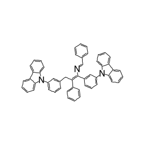 C(=N\C(=C(/Cc1cccc(-n2c3ccccc3c3ccccc32)c1)c1ccccc1)c1cccc(-n2c3ccccc3c3ccccc32)c1)/c1ccccc1